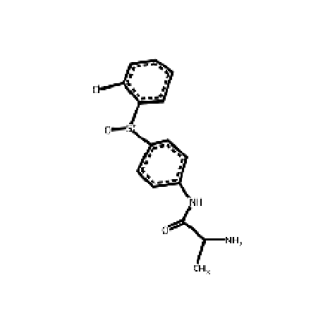 CC(N)C(=O)Nc1ccc([S+]([O-])c2ccccc2Cl)cc1